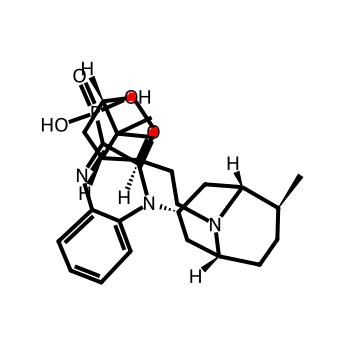 C[C@H]1CC[C@@H]2C[C@H](n3c(=O)c(P(=O)(O)O)nc4ccccc43)C[C@H]1N2CC[C@@H]1CC[C@H]2C[C@@H]1C2(C)C